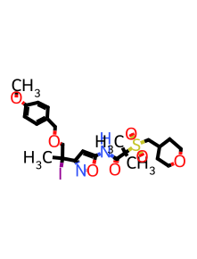 COc1ccc(COCC(C)(I)c2cc(NC(=O)C(C)(C)S(=O)(=O)CC3CCOCC3)on2)cc1